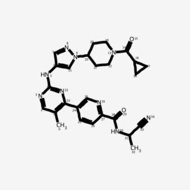 Cc1cnc(Nc2cnn(C3CCN(C(=O)C4CC4)CC3)c2)nc1-c1ccc(C(=O)NC(C)C#N)nc1